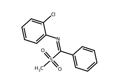 CS(=O)(=O)C(=Nc1ccccc1Cl)c1ccccc1